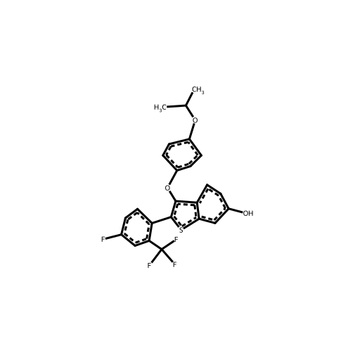 CC(C)Oc1ccc(Oc2c(-c3ccc(F)cc3C(F)(F)F)sc3cc(O)ccc23)cc1